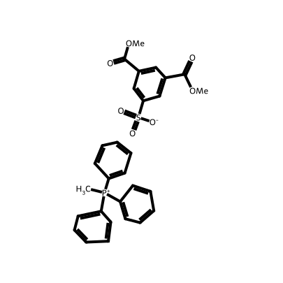 COC(=O)c1cc(C(=O)OC)cc(S(=O)(=O)[O-])c1.C[P+](c1ccccc1)(c1ccccc1)c1ccccc1